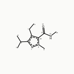 CCc1c(C(C)C)nn(C)c1C(=O)NC